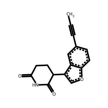 CC#Cc1ccc2occ(C3CCC(=O)NC3=O)c2c1